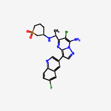 CC(NC1CCCS(=O)(=O)C1)c1nc2c(-c3cnc4ccc(F)cc4c3)cnn2c(N)c1Br